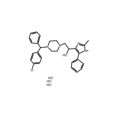 Cc1nc(C(O)CN2CCN(C(c3ccccc3)c3ccc(Cl)cc3)CC2)c(-c2ccccc2)[nH]1.Cl.Cl.Cl